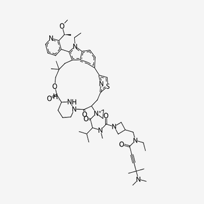 CCN(CC1CN(C(=O)N(C)C(C(=O)[N+]2(C3Cc4nc(cs4)-c4ccc5c(c4)c(c(-c4cccnc4[C@H](C)OC)n5CC)CC(C)(C)COC(=O)[C@@H]4CCCN(N4)C3=O)CC2)C(C)C)C1)C(=O)C#CC(C)(C)N(C)C